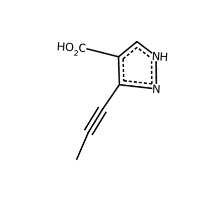 CC#Cc1n[nH]cc1C(=O)O